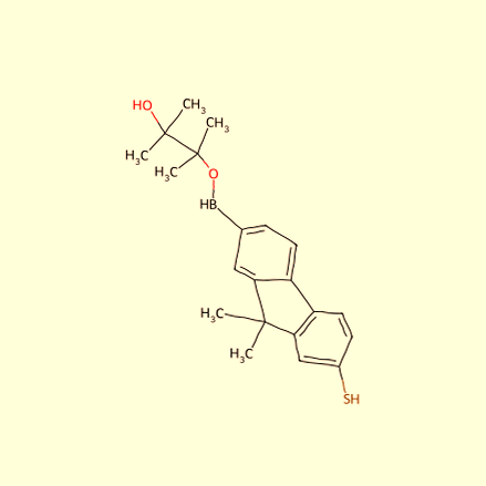 CC1(C)c2cc(S)ccc2-c2ccc(BOC(C)(C)C(C)(C)O)cc21